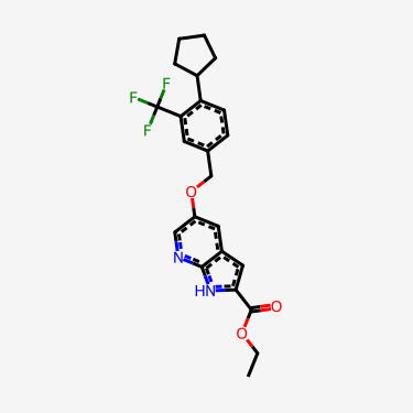 CCOC(=O)c1cc2cc(OCc3ccc(C4CCCC4)c(C(F)(F)F)c3)cnc2[nH]1